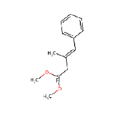 CO[SiH](C/C(C)=C/c1ccccc1)OC